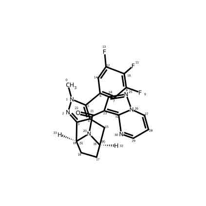 Cn1nc2c(c1-c1cc(F)c(F)c(F)c1)C[C@H]1CC[C@@H]2N1C(=O)c1cnn2cccnc12